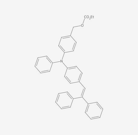 CCOC(=O)OCc1ccc(N(c2ccccc2)c2ccc(C=C(c3ccccc3)c3ccccc3)cc2)cc1